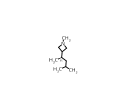 CC(C)C[C@@H](C)C1CN(C)C1